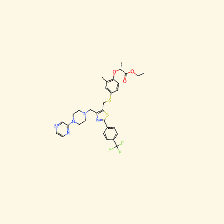 CCOC(=O)C(C)Oc1ccc(SCc2sc(-c3ccc(C(F)(F)F)cc3)nc2CN2CCN(c3cnccn3)CC2)cc1C